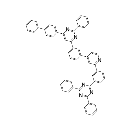 c1ccc(-c2ccc(-c3cc(-c4cccc(-c5ccnc(-c6cccc(-c7nc(-c8ccccc8)nc(-c8ccccc8)n7)c6)c5)c4)nc(-c4ccccc4)n3)cc2)cc1